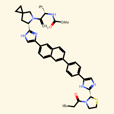 C=C([C@@H](NC(=O)OC)C(C)C)N1CC2(CC2)C[C@H]1c1nc(-c2ccc3cc(-c4ccc(-c5cnc([C@@H]6SCCN6C(=O)CC(C)(C)C)[nH]5)cc4)ccc3c2)c[nH]1